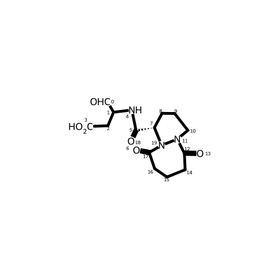 O=CC(CC(=O)O)NC(=O)[C@@H]1CCCN2C(=O)CCCC(=O)N12